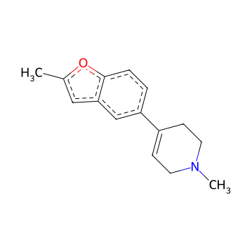 Cc1cc2cc(C3=CCN(C)CC3)ccc2o1